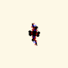 O=C(CCOC(=O)C(CC1CCCCC1)N1C(=O)c2cc(Oc3ccccc3)c3c4c(Oc5ccccc5)cc5c6c(cc(Oc7ccccc7)c(c7c(Oc8ccccc8)cc(c2c37)C1=O)c64)C(=O)N(C(CC1CCCCC1)C(=O)OCCC(=O)NCC1CO1)C5=O)NCC1CO1